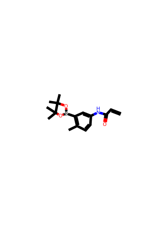 C=CC(=O)Nc1ccc(C)c(B2OC(C)(C)C(C)(C)O2)c1